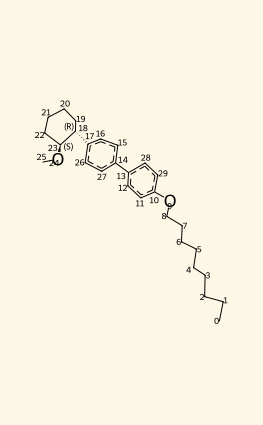 CCCCCCCCCOc1ccc(-c2ccc([C@H]3CCCC[C@@H]3OC)cc2)cc1